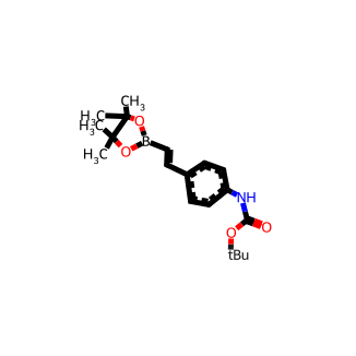 CC(C)(C)OC(=O)Nc1ccc(C=CB2OC(C)(C)C(C)(C)O2)cc1